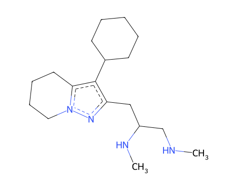 CNCC(Cc1nn2c(c1C1CCCCC1)CCCC2)NC